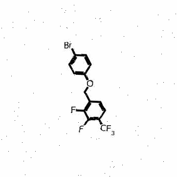 Fc1c(COc2ccc(Br)cc2)ccc(C(F)(F)F)c1F